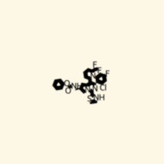 O=C(NC[C@H]1CC2=C(C3=NC(C(F)F)CC=C3)[C@H](c3ccc(F)cc3Cl)N=C(C3NC=CS3)N2C1)Oc1ccccc1